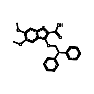 COc1cc2sc(C(=O)O)c(OCC(c3ccccc3)c3ccccc3)c2cc1OC